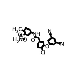 Cc1ccc(NC(=O)Cc2ccc(Cl)c(Oc3cc(C#N)cc(C#N)c3)c2)cc1S(N)(=O)=O